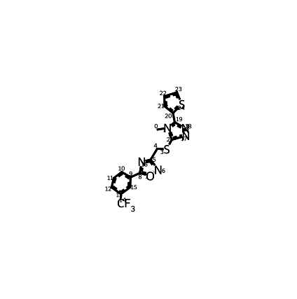 Cn1c(SCc2noc(-c3cccc(C(F)(F)F)c3)n2)nnc1-c1cccs1